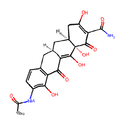 CC(C)(C)C(=O)Nc1ccc2c(c1O)C(=O)C1=C(O)[C@]3(O)C(=O)C(C(N)=O)=C(O)C[C@@H]3C[C@@H]1C2